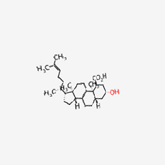 CC(C)=CCC[C@@H](C)[C@H]1CC[C@H]2C3=C(CC[C@]12C)[C@@]1(C)C(C(=O)O)C[C@H](O)C[C@@H]1CC3